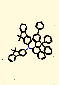 CC1(C)c2ccccc2-c2ccc(N(c3ccc4c(c3)C(C)(C)c3ccccc3-4)c3cc4ccccc4c4c3-c3ccc(-c5ccccc5)cc3C4(c3ccccc3)c3ccccc3)cc21